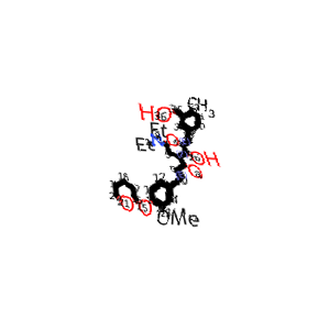 CCN(CC)C(=O)C/C(C(=O)/C=C/c1ccc(OC2CCCCO2)c(OC)c1)=C(O)\C=C\c1ccc(C)c(CO)c1